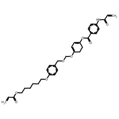 C=CC(=O)Nc1ccc(C(=O)OC2=CC=C(OCOCc3ccc(OCCCCCCOC(=O)C=C)cc3)CC2)cc1